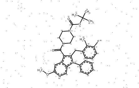 COc1cc2c(C(=O)N3CCN(C(=O)OC(C)(C)C)CC3)c(Cc3cccc(F)c3C)n(-c3ccccc3)c2cn1